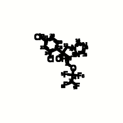 C[C@H](COC(F)(F)C(F)F)[C@@](O)(Cn1cncn1)c1ccc(Cl)cc1Cl